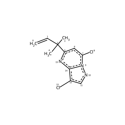 C=CC(C)(C)c1cc(Cl)n2ncc(Cl)c2n1